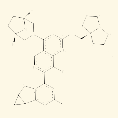 Oc1cc(-c2ncc3c(N4C[C@H]5CC[C@@H](C4)N5)nc(OC[C@@]45CCCN4C[C@H](F)C5)nc3c2F)c2c(c1)C1CC1C2